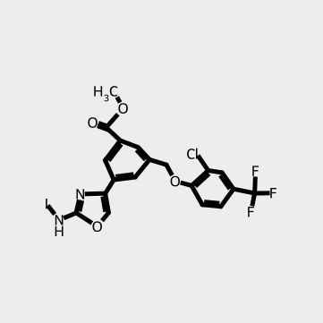 COC(=O)c1cc(COc2ccc(C(F)(F)F)cc2Cl)cc(-c2coc(NI)n2)c1